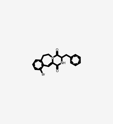 O=C1NC(Cc2ccccc2)C(=O)N2CCc3cccc(Br)c3C=C12